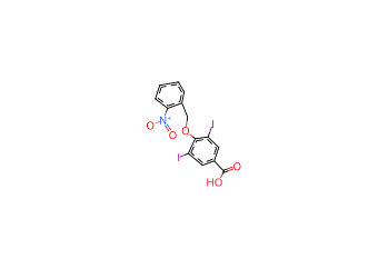 O=C(O)c1cc(I)c(OCc2ccccc2[N+](=O)[O-])c(I)c1